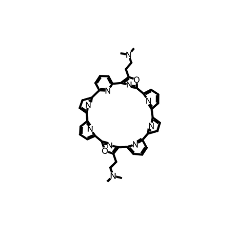 CN(C)CCc1oc2nc1-c1cccc(n1)C1=NC(=CC1)c1cccc(n1)-c1nc(c(CCN(C)C)o1)-c1cccc(n1)C1=NC(=CC1)c1cccc-2n1